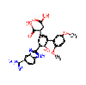 COc1ccc(OC)c(-c2cc(C(CC(=O)O)C(=O)O)cc(-c3nc4cc(C(=N)N)ccc4[nH]3)c2O)c1